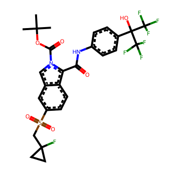 CC(C)(C)OC(=O)n1cc2cc(S(=O)(=O)CC3(F)CC3)ccc2c1C(=O)Nc1ccc(C(O)(C(F)(F)F)C(F)(F)F)cc1